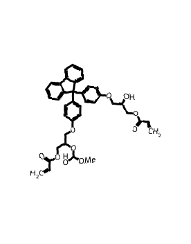 C=CC(=O)OCC(O)COc1ccc(C2(c3ccc(OCC(COC(=O)C=C)OC(O)OC)cc3)c3ccccc3-c3ccccc32)cc1